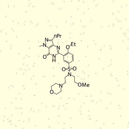 CCCc1nn(C)c2c(=O)[nH]c(-c3cc(S(=O)(=O)N(CCOC)CCN4CCOCC4)ccc3OCC)nc12